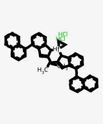 CCC1=Cc2c(-c3cccc4ccccc34)cccc2[CH]1[Hf]1([CH]2C(CC)=Cc3c(-c4cccc5ccccc45)cccc32)[CH2][CH2]1.Cl.Cl